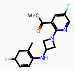 COC(=O)c1cc(F)cnc1N1CC(NC2=C(C)CC(F)C=C2)C1